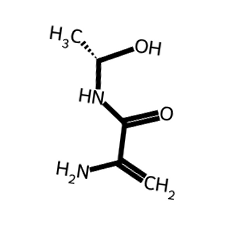 C=C(N)C(=O)N[C@H](C)O